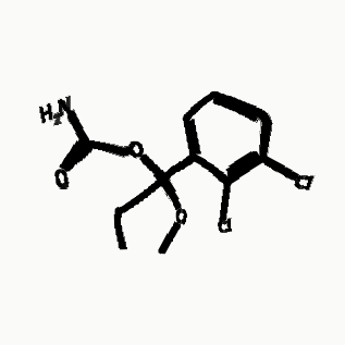 CCC(OC)(OC(N)=O)c1cccc(Cl)c1Cl